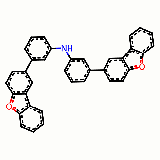 c1cc(Nc2cccc(-c3ccc4oc5ccccc5c4c3)c2)cc(-c2ccc3oc4ccccc4c3c2)c1